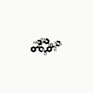 O=C(c1ccc2c(Nc3cnccn3)nn(-c3ccnc(N4C[C@@H]5C[C@H]4CN5)c3)c2c1)N1CCC(Cc2ccccc2)CC1